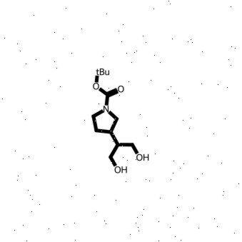 CC(C)(C)OC(=O)N1CCC(C(CO)CO)C1